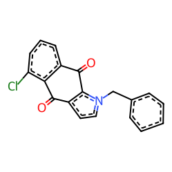 O=C1c2ccn(Cc3ccccc3)c2C(=O)c2cccc(Cl)c21